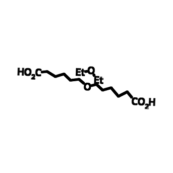 CCOCC.O=C(O)CCCCCOCCCCCC(=O)O